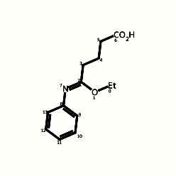 CCOC(CCCC(=O)O)=Nc1ccccc1